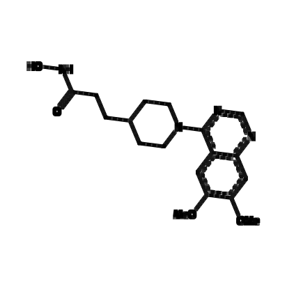 COc1cc2ncnc(N3CCC(CCC(=O)NO)CC3)c2cc1OC